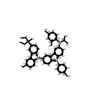 CCC(C)(CC)c1ccc2c(c1)c1cc(C)ccc1n2-c1ccc2c(c1)c1cc(N(c3ccc(C)cc3C)C(C)C)ccc1n2-c1ccc(C)cc1